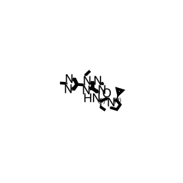 CC[C@@H](Nc1ncnc2c1nc(-c1cnc(C)nc1)n2CC)C(=O)N1CCC[C@@H]1C1CC1